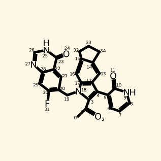 CC(=O)c1c(-c2ccc[nH]c2=O)c2cc3c(cc2n1Cc1cc2c(=O)[nH]cnc2cc1F)CCC3